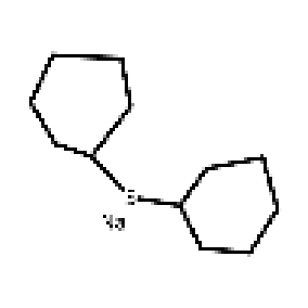 C1CCC(SC2CCCCC2)CC1.[Na]